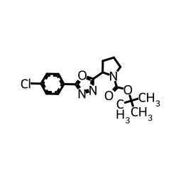 CC(C)(C)OC(=O)N1CCCC1c1nnc(-c2ccc(Cl)cc2)o1